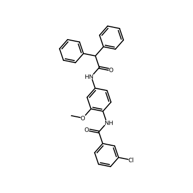 COc1cc(NC(=O)C(c2ccccc2)c2ccccc2)ccc1NC(=O)c1cccc(Cl)c1